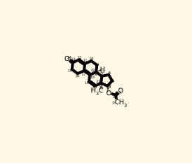 CC(=O)O[C@H]1CCC2[C@@H]3CCC4=CC(=O)CCC4=C3C=C[C@@]21C